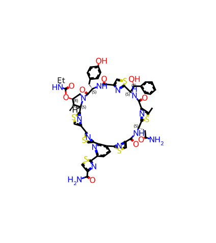 CCNC(=O)O[C@H]1CN2C(=O)[C@H](Cc3ccc(O)cc3)NC(=O)c3csc(n3)[C@H]([C@H](O)c3ccccc3)NC(=O)c3nc(sc3C)[C@H](CC(N)=O)NC(=O)c3csc(n3)-c3ccc(-c4nc(C(N)=O)cs4)nc3-c3csc(n3)-c3csc(n3)[C@@H]2[C@H]1C